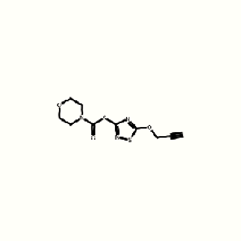 C#CCOc1nc(SC(=O)N2CCOCC2)ns1